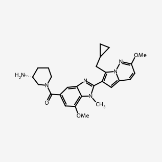 COc1ccc2cc(-c3nc4cc(C(=O)N5CCC[C@@H](N)C5)cc(OC)c4n3C)c(CC3CC3)n2n1